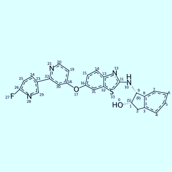 O[C@H]1Cc2ccccc2[C@H]1Nc1nc2ccc(Oc3ccnc(-c4ccc(F)nc4)c3)cc2s1